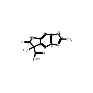 COC(=O)C1(C)C(=O)Nc2cc3[nH]c(C)nc3cc21